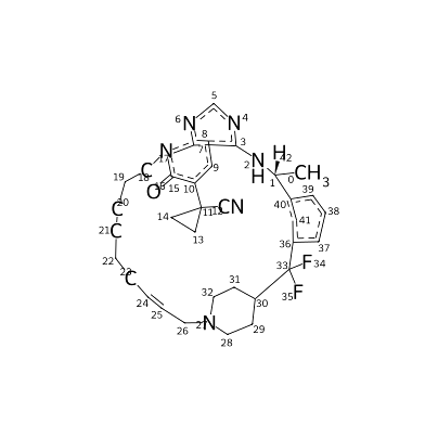 C[C@H]1Nc2ncnc3c2cc(C2(C#N)CC2)c(=O)n3CCCCCC/C=C/CN2CCC(CC2)C(F)(F)c2cccc1c2